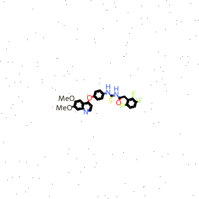 COc1cc2nccc(Oc3ccc(NC(=S)NC(=O)Cc4c(F)ccc(F)c4F)cc3)c2cc1OC